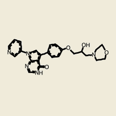 O=c1[nH]cnc2c1c(-c1ccc(OCC(O)CN3CCOCC3)cc1)cn2-c1cccnc1